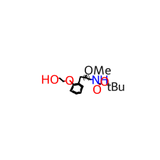 CO[C@@H](CNC(=O)OC(C)(C)C)Cc1ccccc1OCCO